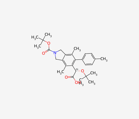 Cc1ccc(-c2c(C)c3c(c(C)c2[C@H](OC(C)(C)C)C(=O)O)CN(C(=O)OC(C)(C)C)C3)cc1